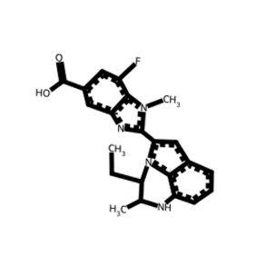 CCC1C(C)Nc2cccc3cc(-c4nc5cc(C(=O)O)cc(F)c5n4C)n1c23